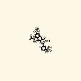 CC(=O)Nc1cc(S(=O)(=O)O)cc2cc(S(=O)(=O)O)c(/N=N/c3cccc(P(=O)(O)O)c3)c(O)c12